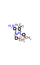 CC(=O)c1cccc(CN(CCc2ccc(N)cc2)CCN(Cc2cccc(C(C)=O)c2)Cc2cccc(C(C)=O)c2)c1